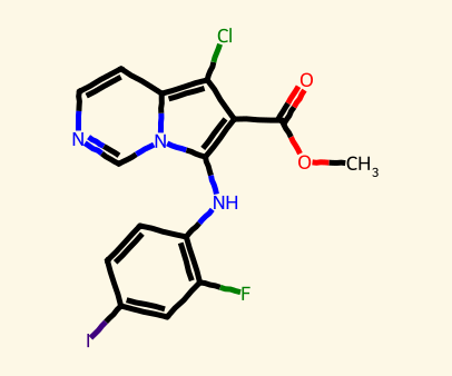 COC(=O)c1c(Cl)c2ccncn2c1Nc1ccc(I)cc1F